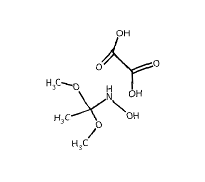 COC(C)(NO)OC.O=C(O)C(=O)O